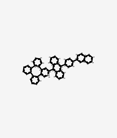 c1ccc2c(c1)-c1ccccc1-c1cnc(-c3c4ccccc4c(-c4ccc(-c5ccc6ccccc6c5)cc4)c4ccccc34)cc1-c1ccccc1-2